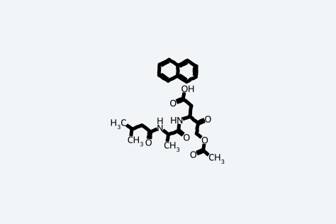 CC(=O)OCC(=O)C(CC(=O)O)NC(=O)C(C)NC(=O)CC(C)C.c1ccc2ccccc2c1